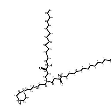 CCCCCCCCCCCCCCNC(=O)CCN(CCSSCCN1CCNCC1)CCC(=O)NCCCCCCCCCCCCCC